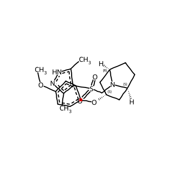 COc1ccc(O[C@@H]2C[C@H]3CC[C@@H](C2)N3CS(=O)(=O)c2c(C)n[nH]c2C)cc1